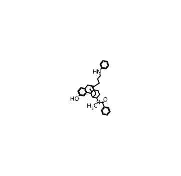 CN(C(=O)c1ccccc1)C1CCC23CCC1C21CCN(CCCNc2ccccc2)C3Cc2ccc(O)cc21